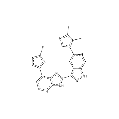 Cc1ncc(-c2cc3c(-c4nc5c(-c6ccc(F)s6)ccnc5[nH]4)n[nH]c3cn2)n1C